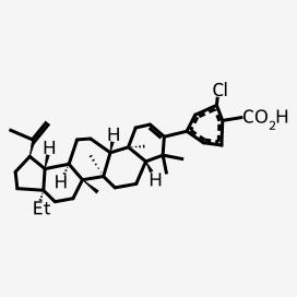 C=C(C)[C@@H]1CC[C@]2(CC)CC[C@]3(C)[C@H](CC[C@@H]4[C@@]5(C)CC=C(c6ccc(C(=O)O)c(Cl)c6)C(C)(C)[C@@H]5CC[C@]43C)[C@@H]12